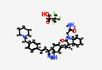 NC(=O)CN1C(=O)[C@@]2(C[C@H]2c2ccc3c(C=Cc4ccc(CN5CCCCC5)cc4)n[nH]c3c2)c2ccccc21.O=C(O)C(F)(F)F